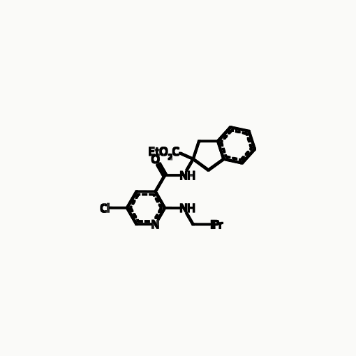 CCOC(=O)C1(NC(=O)c2cc(Cl)cnc2NCC(C)C)Cc2ccccc2C1